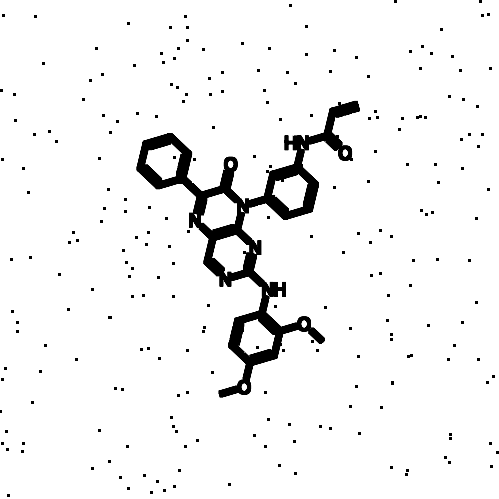 C=CC(=O)Nc1cccc(-n2c(=O)c(-c3ccccc3)nc3cnc(Nc4ccc(OC)cc4OC)nc32)c1